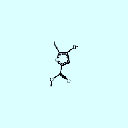 COC(=O)c1cc(Br)c(I)s1